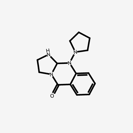 O=C1c2ccccc2N(N2CCCC2)C2NCCN12